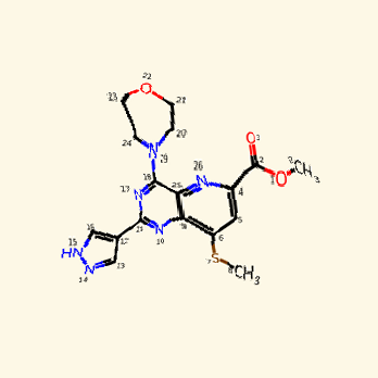 COC(=O)c1cc(SC)c2nc(-c3cn[nH]c3)nc(N3CCOCC3)c2n1